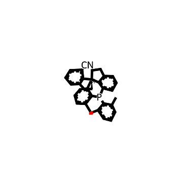 Cc1cccc(C)c1P(c1cccc2c1[C@@]1(CCc3cccc(C#N)c31)CC2)c1c(C)cccc1C